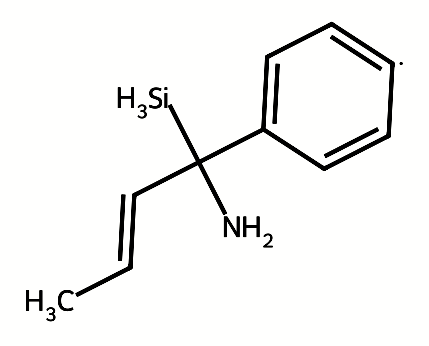 CC=CC(N)([SiH3])c1cc[c]cc1